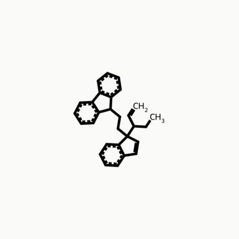 C=CC(CC)C1(CCC2c3ccccc3-c3ccccc32)C=Cc2ccccc21